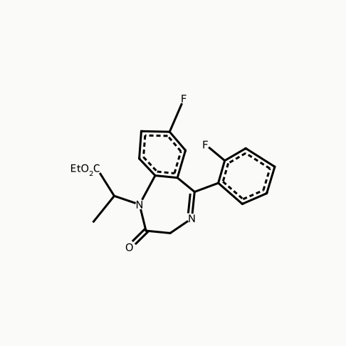 CCOC(=O)C(C)N1C(=O)CN=C(c2ccccc2F)c2cc(F)ccc21